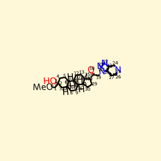 COC[C@@]1(O)CC[C@H]2[C@@H](CC[C@@H]3[C@@H]2CC[C@]2(C)[C@@H](C(=O)Cn4nnc5cnccc54)CC[C@@H]32)C1